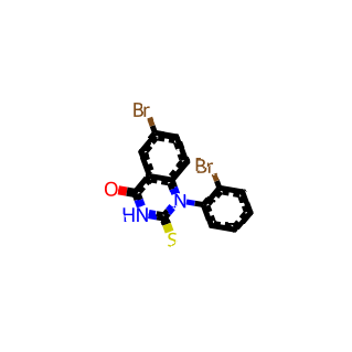 O=c1[nH]c(=S)n(-c2ccccc2Br)c2ccc(Br)cc12